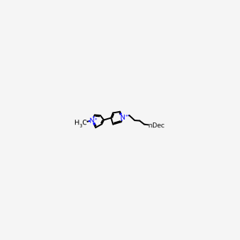 CCCCCCCCCCCCCC[n+]1ccc(-c2cc[n+](C)cc2)cc1